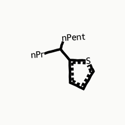 CCCCCC(CCC)c1cccs1